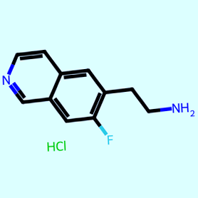 Cl.NCCc1cc2ccncc2cc1F